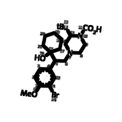 COc1ccc(C(CN2CCN(C(=O)O)C(C(C)(C)C)C2)C2(O)CCCCC2)cc1Br